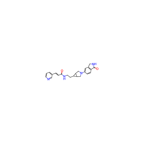 O=C(/C=C/c1cccnc1)NCCC1C2CN(c3ccc4c(c3)CNC4=O)CC12